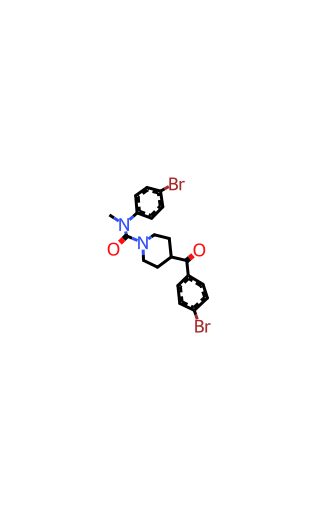 CN(C(=O)N1CCC(C(=O)c2ccc(Br)cc2)CC1)c1ccc(Br)cc1